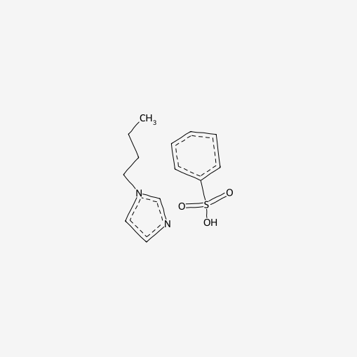 CCCCn1ccnc1.O=S(=O)(O)c1ccccc1